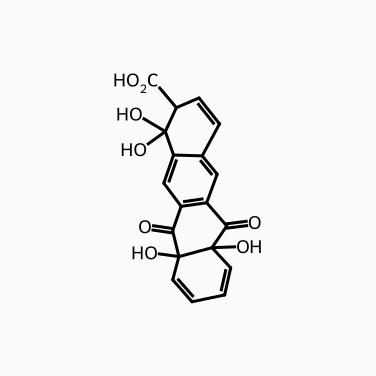 O=C(O)C1C=Cc2cc3c(cc2C1(O)O)C(=O)C1(O)C=CC=CC1(O)C3=O